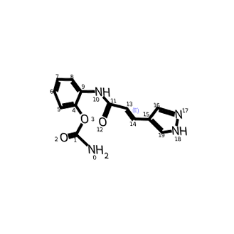 NC(=O)Oc1ccccc1NC(=O)/C=C/c1cn[nH]c1